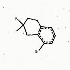 FC1(F)CCc2cccc(Br)c2C1